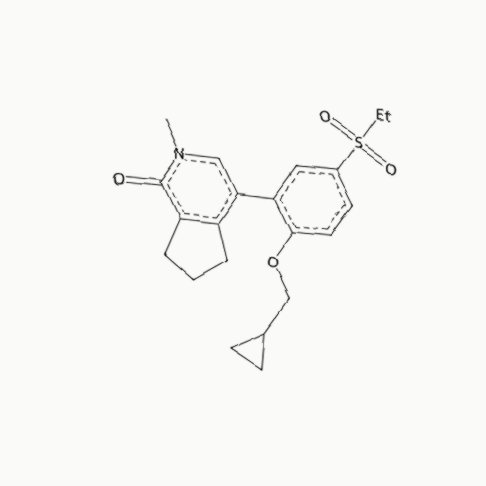 CCS(=O)(=O)c1ccc(OCC2CC2)c(-c2cn(C)c(=O)c3c2CCC3)c1